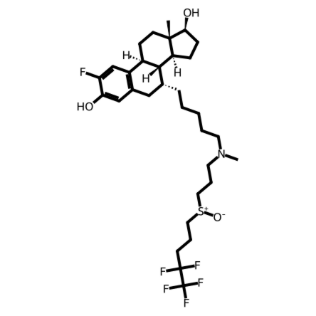 CN(CCCCC[C@@H]1Cc2cc(O)c(F)cc2[C@H]2CC[C@]3(C)[C@@H](O)CC[C@H]3[C@H]12)CCC[S+]([O-])CCCC(F)(F)C(F)(F)F